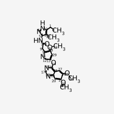 CCc1[nH]nc(NC(=O)Cc2ncc(Oc3ncnc4cc(OC)c(OC)cc34)cc2OC)c1C